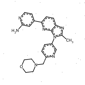 Cc1nc2ccc(-c3ccnc(N)c3)nc2n1-c1ccc(CN2CCOCC2)nc1